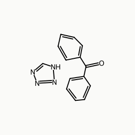 O=C(c1ccccc1)c1ccccc1.c1nnn[nH]1